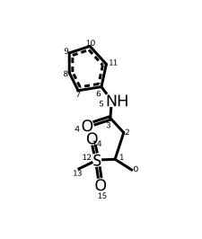 CC(CC(=O)Nc1ccccc1)S(C)(=O)=O